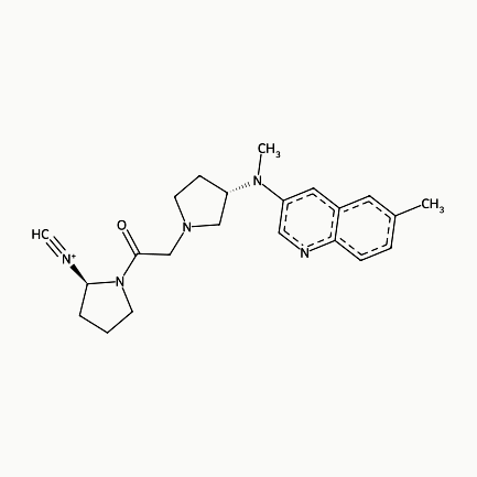 C#[N+][C@@H]1CCCN1C(=O)CN1CC[C@H](N(C)c2cnc3ccc(C)cc3c2)C1